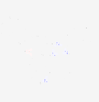 c1ccc(-c2nc(-c3ccc4ccccc4c3)nc(-c3ccc(-c4ccc5ccccc5c4)c4oc5cc6ccncc6cc5c34)n2)cc1